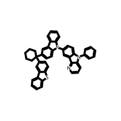 c1ccc(-n2c3ccc(-n4c5ccccc5c5cc(C6(c7ccc8sc9ccccc9c8c7)CCCCC6)ccc54)cc3c3ncccc32)cc1